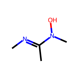 C/N=C(\C)N(C)O